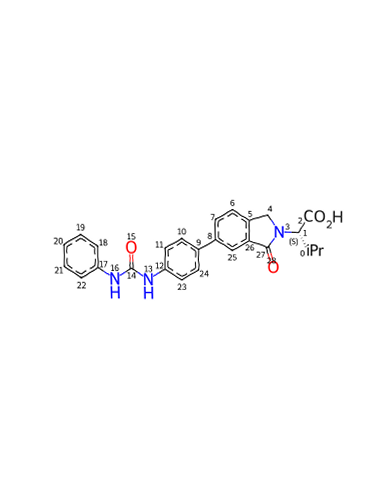 CC(C)[C@@H](C(=O)O)N1Cc2ccc(-c3ccc(NC(=O)Nc4ccccc4)cc3)cc2C1=O